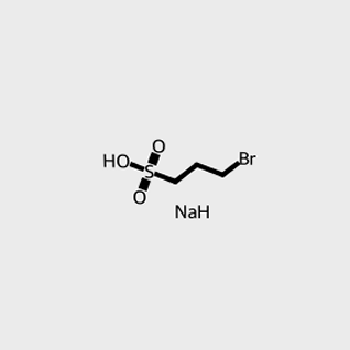 O=S(=O)(O)CCCBr.[NaH]